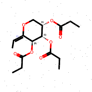 C/C=C1/OC[C@H](OC(=O)CC)[C@H](OC(=O)CC)[C@H]1OC(=O)CC